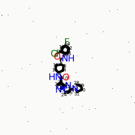 O=C(N[C@H]1CC[C@H](C(=O)Nc2ccc(F)cc2Cl)CC1)c1cnn2ccc(N3CCCC3)nc12